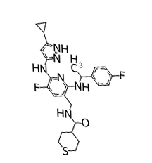 CC(Nc1nc(Nc2cc(C3CC3)[nH]n2)c(F)cc1CNC(=O)C1CCSCC1)c1ccc(F)cc1